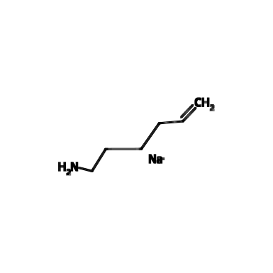 C=CCCCCN.[Na]